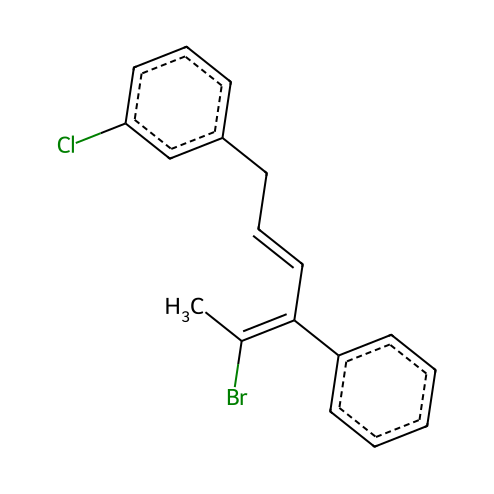 CC(Br)=C(C=CCc1cccc(Cl)c1)c1ccccc1